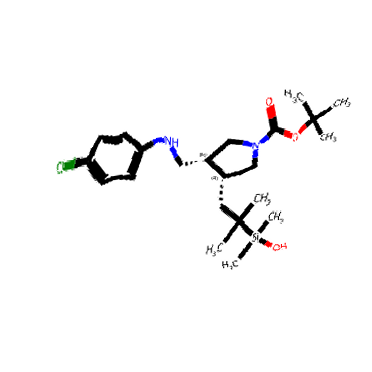 CC(C)(C)OC(=O)N1C[C@@H](CNc2ccc(Cl)cc2)[C@@H](CC(C)(C)[Si](C)(C)O)C1